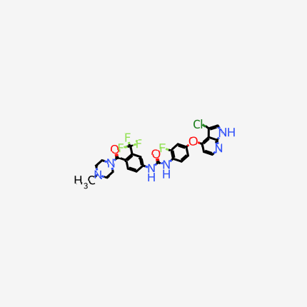 CN1CCN(C(=O)c2ccc(NC(=O)Nc3ccc(Oc4ccnc5[nH]cc(Cl)c45)cc3F)cc2C(F)(F)F)CC1